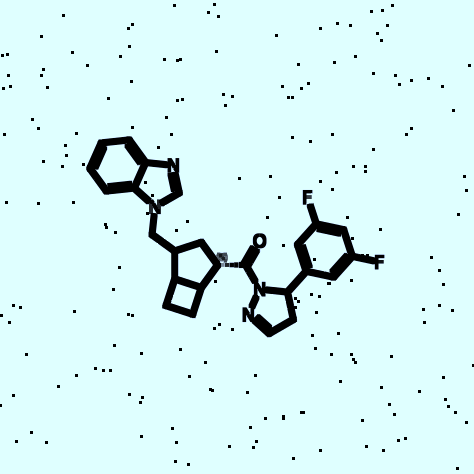 O=C([C@H]1CC(Cn2cnc3ccccc32)C2CCC21)N1N=CCC1c1cc(F)cc(F)c1